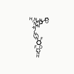 CN(CCN1CCN(c2ccc(O[C@H]3CNC[C@H]3F)cc2F)CC1)c1nc(N)n2nc(-c3ccco3)cc2n1